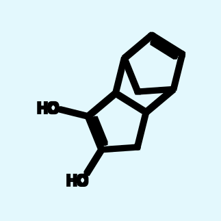 OC1=C(O)C2C3C=CC(C3)C2C1